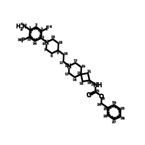 Nc1cc(F)c(N2CCC(CCN3CCC4(CC3)CC(NC(=O)OCc3ccccc3)C4)CC2)cc1F